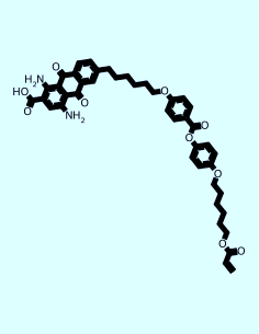 C=CC(=O)OCCCCCCOc1ccc(OC(=O)c2ccc(OCCCCCCc3ccc4c(c3)C(=O)c3c(N)cc(C(=O)O)c(N)c3C4=O)cc2)cc1